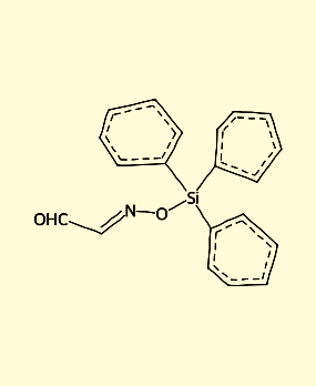 O=CC=NO[Si](c1ccccc1)(c1ccccc1)c1ccccc1